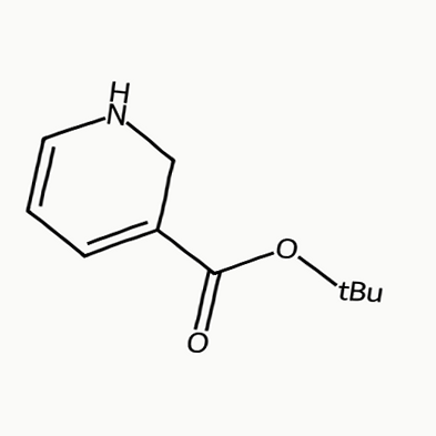 CC(C)(C)OC(=O)C1=CC=CNC1